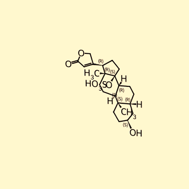 C[C@]12CC[C@H](O)C[C@H]1CC[C@@H]1[C@@H]2CC[C@]2(C)[C@@H](C3=CC(=O)OC3)CC[C@]12OS(=O)(=O)O